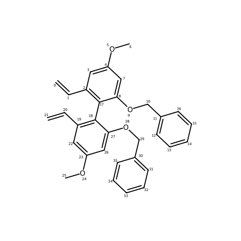 C=Cc1cc(OC)cc(OCc2ccccc2)c1-c1c(C=C)cc(OC)cc1OCc1ccccc1